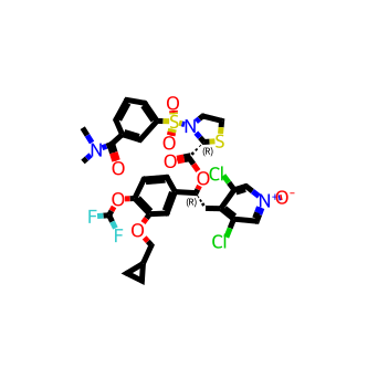 CN(C)C(=O)c1cccc(S(=O)(=O)N2CCS[C@@H]2C(=O)O[C@H](Cc2c(Cl)c[n+]([O-])cc2Cl)c2ccc(OC(F)F)c(OCC3CC3)c2)c1